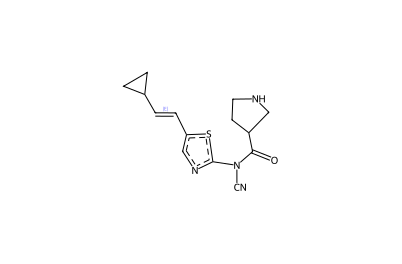 N#CN(C(=O)C1CCNC1)c1ncc(/C=C/C2CC2)s1